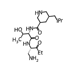 CCC(=O)[C@H](CN)NC(=O)[C@@H](NC(=O)C1CNCC(CC(C)C)C1)C(C)O